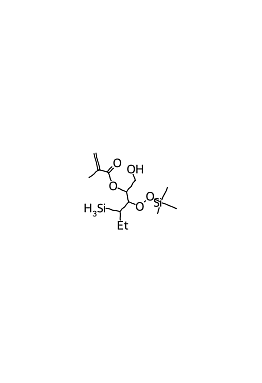 C=C(C)C(=O)OC(CO)C(OO[Si](C)(C)C)C([SiH3])CC